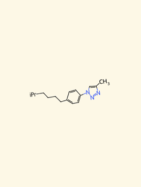 Cc1cn(-c2ccc(CCCCC(C)C)cc2)nn1